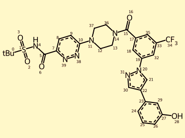 CC(C)(C)S(=O)(=O)NC(=O)c1ccc(N2CCN(C(=O)c3cc(-n4cc(-c5cccc(O)c5)cn4)cc(C(F)(F)F)c3)CC2)nn1